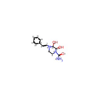 NC(=O)N1CCN(C=Cc2ccccc2)C(O)C1O